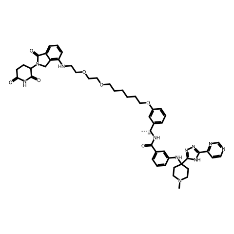 C[C@@H](NC(=O)c1cccc(NC2(c3nnc(-c4ccncn4)[nH]3)CCN(C)CC2)c1)c1cccc(OCCCCCCOCCOCCNc2cccc3c2CN(C2CCC(=O)NC2=O)C3=O)c1